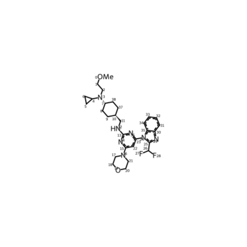 COCCN(C1CC1)[C@H]1CC[C@H](CNc2nc(N3CCOCC3)cc(-n3c(C(F)F)nc4ccccc43)n2)CC1